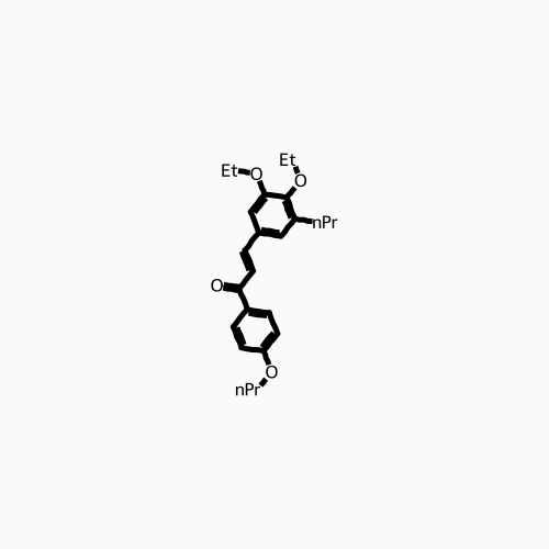 CCCOc1ccc(C(=O)C=Cc2cc(CCC)c(OCC)c(OCC)c2)cc1